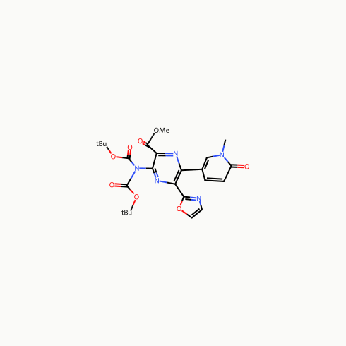 COC(=O)c1nc(-c2ccc(=O)n(C)c2)c(-c2ncco2)nc1N(C(=O)OC(C)(C)C)C(=O)OC(C)(C)C